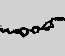 CC(=O)NCC1CC(c2ccc(-c3ccc(CNCCCF)cc3)cc2)=NO1